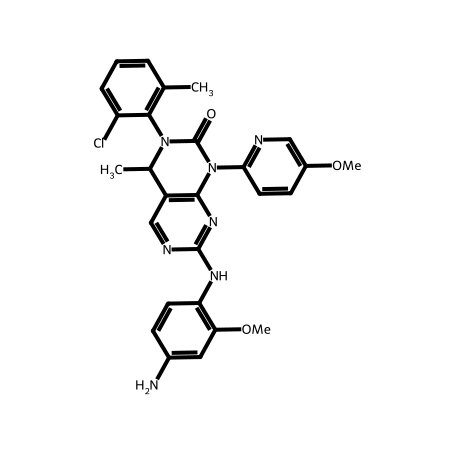 COc1ccc(N2C(=O)N(c3c(C)cccc3Cl)C(C)c3cnc(Nc4ccc(N)cc4OC)nc32)nc1